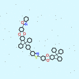 c1ccc(C2(c3ccc(-c4ccc5sc(-c6ccc7c(c6)Oc6cc8c(cc6O7)-c6ccccc6C8(c6ccccc6)c6ccccc6)nc5c4)cc3)c3ccccc3-c3cc4c(cc32)Oc2cc(-c3nc5ccccc5o3)ccc2O4)cc1